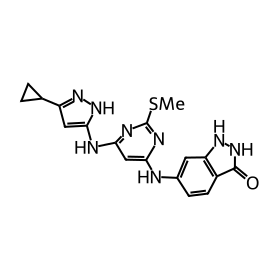 CSc1nc(Nc2ccc3c(=O)[nH][nH]c3c2)cc(Nc2cc(C3CC3)n[nH]2)n1